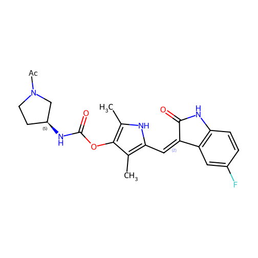 CC(=O)N1CC[C@H](NC(=O)Oc2c(C)[nH]c(/C=C3\C(=O)Nc4ccc(F)cc43)c2C)C1